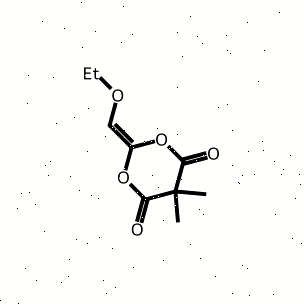 CCOC=C1OC(=O)C(C)(C)C(=O)O1